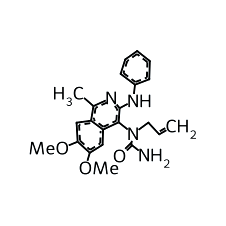 C=CCN(C(N)=O)c1c(Nc2ccccc2)nc(C)c2cc(OC)c(OC)cc12